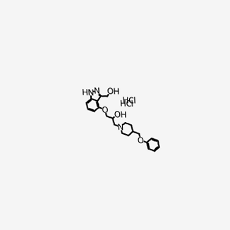 Cl.Cl.OCc1n[nH]c2cccc(OCC(O)CN3CCC(COc4ccccc4)CC3)c12